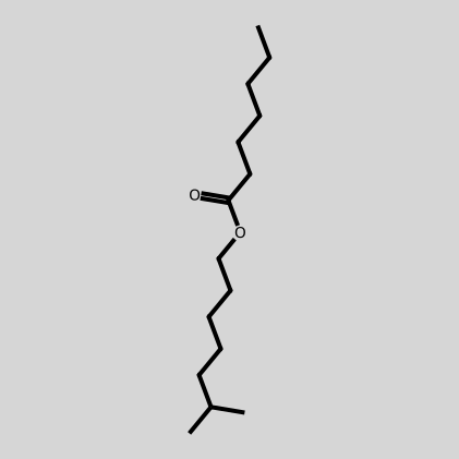 CCCCCCC(=O)OCCCCCC(C)C